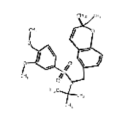 COc1ccc(S(=O)(=O)N(Cc2ccc3c(c2)C=CC(C)(C)O3)C(C)(C)C)cc1OC